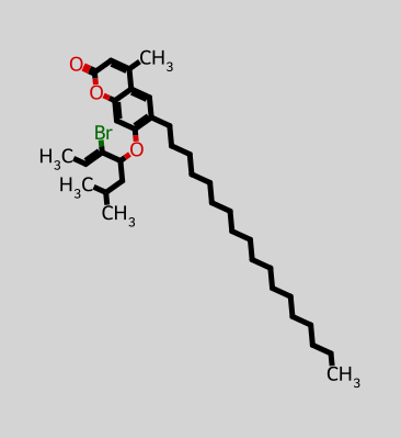 CC=C(Br)C(CC(C)C)Oc1cc2oc(=O)cc(C)c2cc1CCCCCCCCCCCCCCCCCC